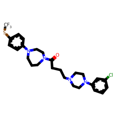 O=C(CCCN1CCN(c2cccc(Cl)c2)CC1)N1CCCN(c2ccc(SC(F)(F)F)cc2)CC1